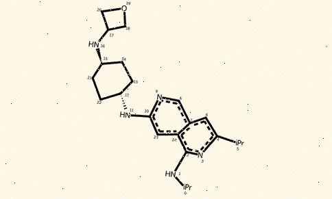 CC(C)Nc1nc(C(C)C)cc2cnc(N[C@H]3CC[C@H](NC4COC4)CC3)cc12